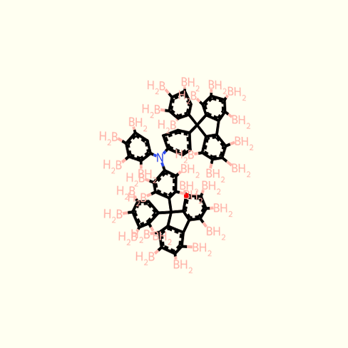 Bc1cc(N(c2ccc(C3(c4cc(B)c(B)c(B)c4B)c4c(B)c(B)c(B)c(B)c4-c4c(B)c(B)c(B)c(B)c43)cc2)c2c(B)c(B)c(C3(c4cc(B)c(B)c(B)c4B)c4c(B)c(B)c(B)c(B)c4-c4c(B)c(B)c(B)c(B)c43)c(B)c2B)c(B)c(B)c1B